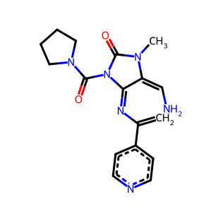 C=C(/N=C1\C(=C/N)N(C)C(=O)N1C(=O)N1CCCC1)c1ccncc1